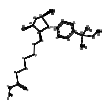 CC(C)OC(=O)CCCCCC[C@@H]1[C@@H](c2ccc(C(C)(C)CO)cc2)[C@H](O)C[C@@H]1Cl